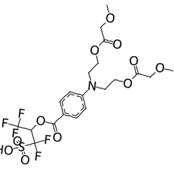 COCC(=O)OCCN(CCOC(=O)COC)c1ccc(C(=O)OC(C(F)(F)F)C(F)(F)S(=O)(=O)O)cc1